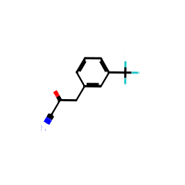 N#CC(=O)Cc1cccc(C(F)(F)F)c1